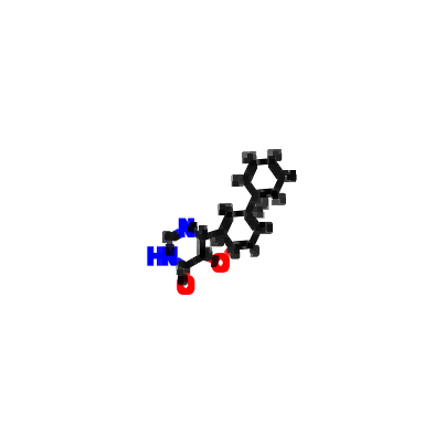 O=c1[nH]cnc2c1oc1ccc(-c3ccccc3)cc12